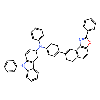 C1=CC(N(C2=CC=C(C3=Cc4c(ccc5oc(-c6ccccc6)nc45)CC3)CC2)c2ccccc2)Cc2c1n(-c1ccccc1)c1ccccc21